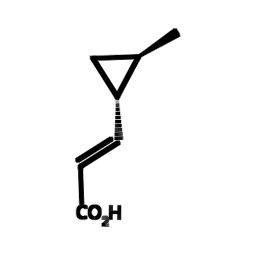 C[C@@H]1C[C@H]1/C=C/C(=O)O